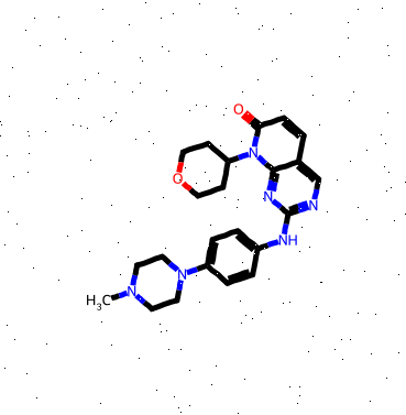 CN1CCN(c2ccc(Nc3ncc4ccc(=O)n(C5CCOCC5)c4n3)cc2)CC1